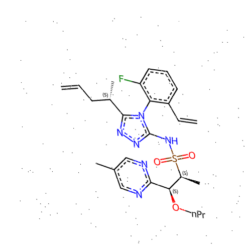 C=CC[C@H](C)c1nnc(NS(=O)(=O)[C@@H](C)[C@@H](OCCC)c2ncc(C)cn2)n1-c1c(F)cccc1C=C